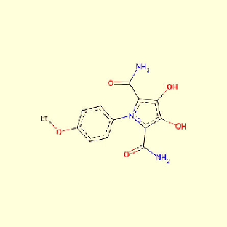 CCOc1ccc(-n2c(C(N)=O)c(O)c(O)c2C(N)=O)cc1